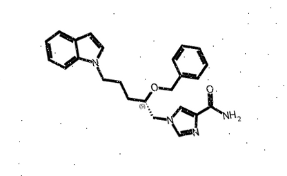 NC(=O)c1cn(C[C@H](CCCn2ccc3ccccc32)OCc2ccccc2)cn1